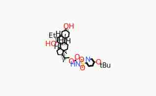 CC[C@H]1[C@@H](O)[C@@H]2[C@H](CC[C@]3(C)[C@@H]([C@H](C)COC(=O)NS(=O)(=O)c4ccc(OC(C)(C)C)cn4)CC[C@@H]23)[C@@]2(C)CC[C@@H](O)C[C@@H]12